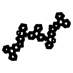 c1ccc2c(c1)Oc1cc3c(cc1N2c1ccc2c4ccc(N5c6ccccc6Oc6cc7c(cc65)sc5cc6c8ccccc8c8ccccc8c6cc57)cc4c4ccccc4c2c1)sc1cc2c4ccccc4c4ccccc4c2cc13